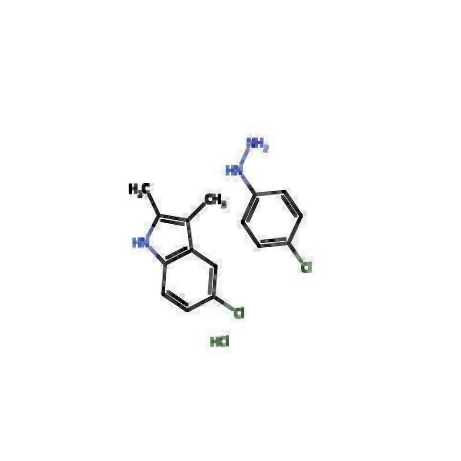 Cc1[nH]c2ccc(Cl)cc2c1C.Cl.NNc1ccc(Cl)cc1